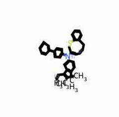 C/C=C\C1=C(C)C(C)(C)c2ccc(N(/C3=C/C=C\Cc4ccccc4SC3)c3ccc(-c4ccccc4)cc3)cc21